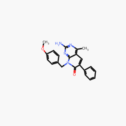 COc1ccc(Cn2c(=O)c(-c3ccccc3)cc3c(C)nc(N)nc32)cc1